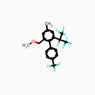 COCc1[c]c(C)cc(C(F)(C(F)(F)F)C(F)(F)F)c1-c1ccc(C(F)(F)F)cc1